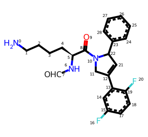 NCCCC[C@H](NC=O)C(=O)N1CC(c2cc(F)ccc2F)=CC1c1ccccc1